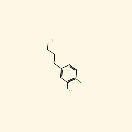 COc1cc(CCCO)ccc1Cl